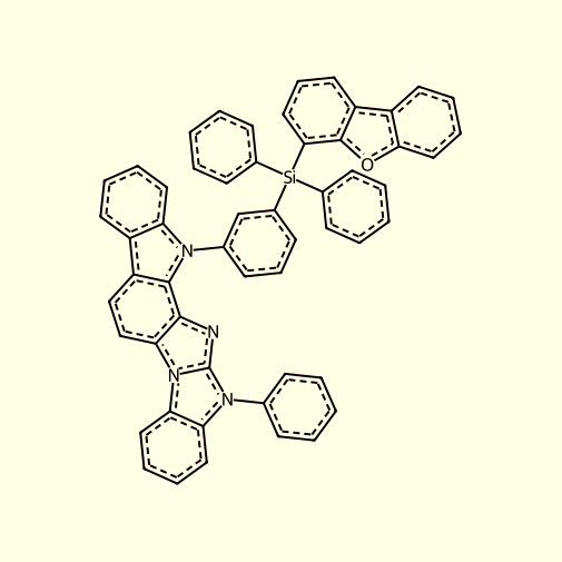 c1ccc(-n2c3ccccc3n3c4ccc5c6ccccc6n(-c6cccc([Si](c7ccccc7)(c7ccccc7)c7cccc8c7oc7ccccc78)c6)c5c4nc23)cc1